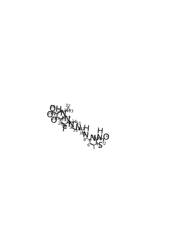 O=C1CSc2ccc(CNCCN3CCN(c4nc5c(cc4F)c(=O)c(C(=O)O)cn5C4CC4)CC3)nc2N1